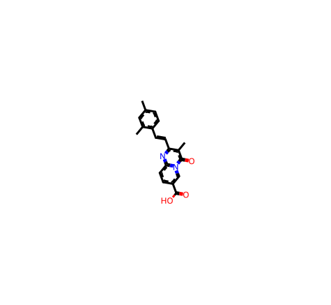 Cc1ccc(C=Cc2nc3ccc(C(=O)O)cn3c(=O)c2C)c(C)c1